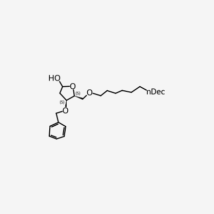 CCCCCCCCCCCCCCCCOC[C@@H]1OC(O)C[C@@H]1OCc1ccccc1